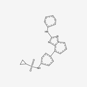 O=S(=O)(Nc1ccc(-c2cccn3nc(Nc4ccccc4)nc23)cc1)C1CC1